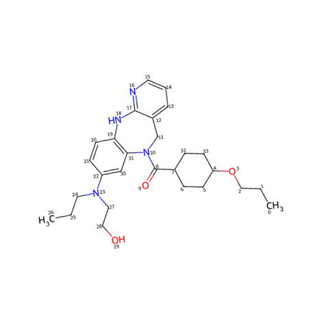 CCCOC1CCC(C(=O)N2Cc3cccnc3Nc3ccc(N(CCC)CCO)cc32)CC1